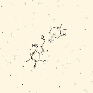 Cc1nc2[nH]c(C(=O)N[C@@H]3CCC[Si](C)(C)NC3)cc2c(F)c1F